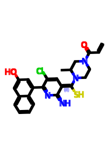 C=CC(=O)N1CCN(/C(S)=C2\C=C(Cl)C(c3cc(O)cc4ccccc34)=NC2=N)C(C)C1